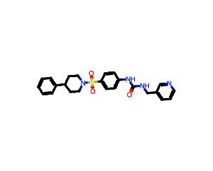 O=C(NCc1cccnc1)Nc1ccc(S(=O)(=O)N2CCC(c3ccccc3)CC2)cc1